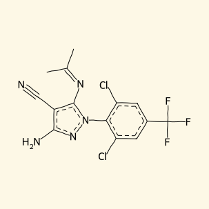 CC(C)=Nc1c(C#N)c(N)nn1-c1c(Cl)cc(C(F)(F)F)cc1Cl